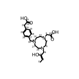 CC=C(O)CN1CCN(CC(=O)O)CCN(Cc2ccc(CC(=O)O)cc2)CC1